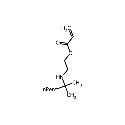 C=CC(=O)OCCNC(C)(C)CCCCC